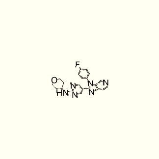 Fc1ccc(-n2c(-c3cnc(NC4CCOCC4)nc3)nc3ccncc32)cc1